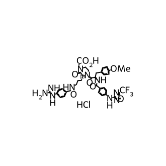 COc1ccc(CC(NC(=O)c2ccc(Nc3noc(C(F)(F)F)n3)cc2)C(=O)N2CCN(CC(=O)O)C(=O)[C@@H]2CCCNC(=O)c2ccc(NC(=N)N)cc2)cc1.Cl